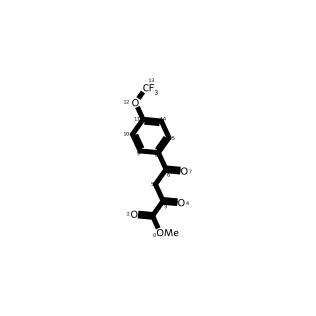 COC(=O)C(=O)CC(=O)c1ccc(OC(F)(F)F)cc1